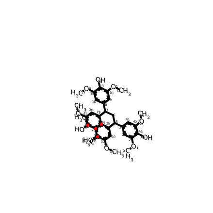 COc1cc(C(CC(c2cc(OC)c(O)c(OC)c2)c2cc(OC)c(O)c(OC)c2)c2cc(OC)c(O)c(OC)c2)cc(OC)c1O